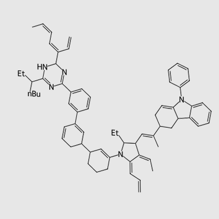 C=C/C=C1\C(=C/C)C(/C=C(\C)C2CC=C3C(C2)c2ccccc2N3c2ccccc2)C(CC)N1C1=CC(C2C=C(c3cccc(C4=NC(/C(C=C)=C/C=C\C)NC(C(CC)CCCC)=N4)c3)C=CC2)CCC1